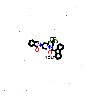 CCCCc1cccc2c1C(C(=O)N(CC(F)(F)C(F)(F)F)N1CCC(N3Cc4ccccc4C3=O)CC1)c1ccccc1-2